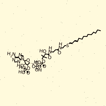 CCCCCCCCCCC=CC=CSCCNC(=O)CCNC(=O)[C@H](O)C(C)(C)COP(=O)(O)OP(=O)(O)OC[C@H]1O[C@@H](n2cnc3c(N)ncnc32)[C@H](O)[C@@H]1OP(=O)(O)O